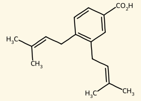 CC(C)=CCc1ccc(C(=O)O)cc1CC=C(C)C